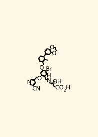 Cc1c(COc2cc(OCc3cncc(C#N)c3)c(CNC[C@@H](O)CC(=O)O)cc2Br)cccc1-c1ccc2c(c1)OCCO2